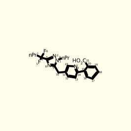 CCCn1nc(C(F)(F)CCC)nc1Cc1ccc(-c2ccccc2C(=O)O)nc1